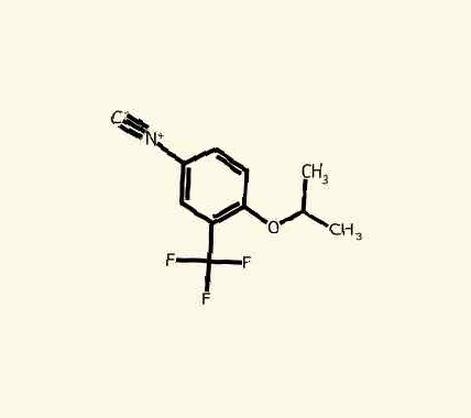 [C-]#[N+]c1ccc(OC(C)C)c(C(F)(F)F)c1